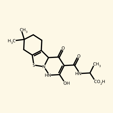 CC(NC(=O)C1=C(O)NN2SC3=C(CCC(C)(C)C3)C2C1=O)C(=O)O